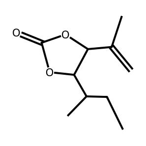 C=C(C)C1OC(=O)OC1C(C)CC